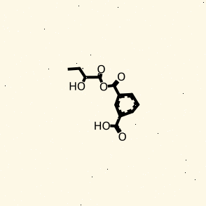 C[CH]C(O)C(=O)OC(=O)c1cccc(C(=O)O)c1